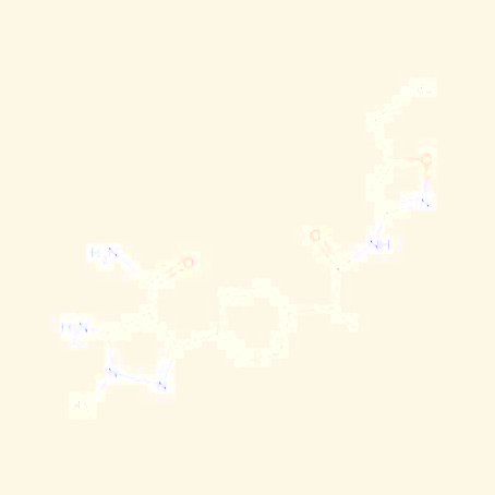 CC(C(=O)Nc1cc(CC(C)(C)C)on1)c1ccc(-c2nn(C(C)C)c(N)c2C(N)=O)cc1